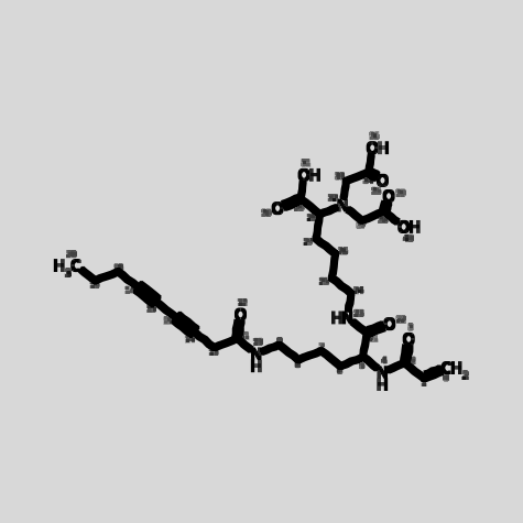 C=CC(=O)NC(CCCCNC(=O)CC#CC#CCCC)C(=O)NCCCCC(C(=O)O)N(CC(=O)O)CC(=O)O